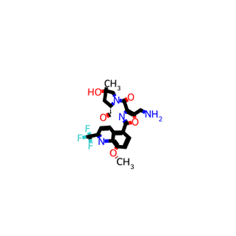 COc1ccc(-c2nc(C(=O)N3CC(C)(O)C[C@H]3C=O)c(CN)o2)c2ccc(C(F)(F)F)nc12